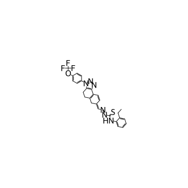 CCc1ccccc1NC(=S)/N=N/C=C1\C=CC2=C(CCc3c2nnn3-c2ccc(OC(F)(F)F)cc2)C1